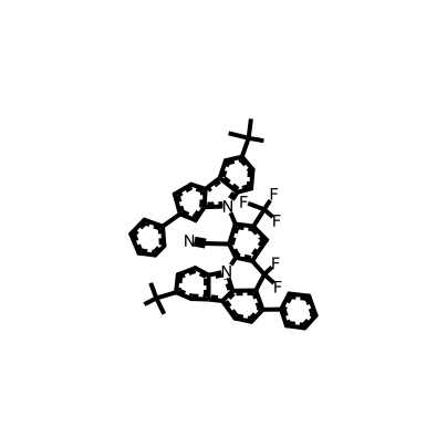 CC(C)(C)c1ccc2c(c1)c1ccc(-c3ccccc3)cc1n2-c1c(C(F)(F)F)cc2c(c1C#N)-n1c3ccc(C(C)(C)C)cc3c3ccc(-c4ccccc4)c(c31)C2(F)F